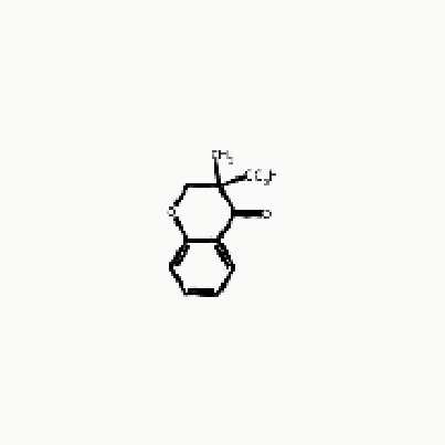 CC1(C(=O)O)COc2ccccc2C1=O